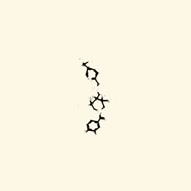 BC(B)(B)c1ccc(CNCC2(F)C(B)(B)CN(C(=O)c3ccc(F)c(Cl)c3)CC2(B)B)nc1